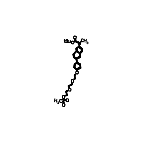 CN(C(=O)OC(C)(C)C)c1ccc2cc(-c3ccc(OCCOCCOCCOS(C)(=O)=O)cc3)ccc2c1